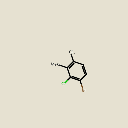 CSc1c(C(F)(F)F)ccc(Br)c1Cl